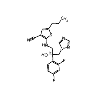 CCCc1cc(C#N)c(NC[C@@](O)(Cn2cncn2)c2ccc(F)cc2F)s1